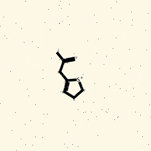 C=C(C)CC1=CCCS1